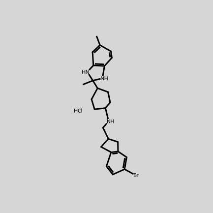 Cc1ccc2c(c1)NC(C)(C1CCC(NCC3Cc4ccc(Br)cc4C3)CC1)N2.Cl